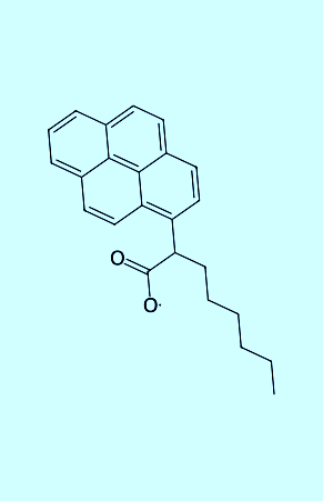 CCCCCCC(C([O])=O)c1ccc2ccc3cccc4ccc1c2c34